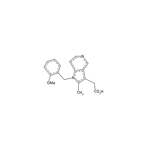 COc1ccccc1Cn1c(C)c(CC(=O)O)c2cnccc21